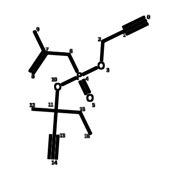 C#CCOP(=O)(CC(=C)C)OC(C)(C#C)CC